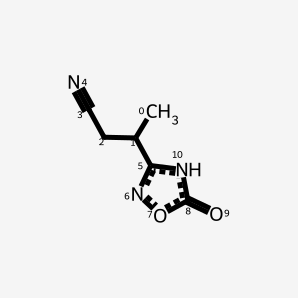 CC(CC#N)c1noc(=O)[nH]1